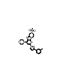 Cc1cccc(-c2ccn(-c3cc(N4CCOCC4)c4nc5n(c4n3)CCN(S(C)(=O)=O)C5)n2)c1